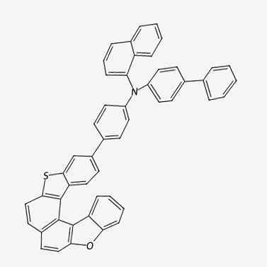 c1ccc(-c2ccc(N(c3ccc(-c4ccc5c(c4)sc4ccc6ccc7oc8ccccc8c7c6c45)cc3)c3cccc4ccccc34)cc2)cc1